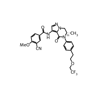 COc1ccc(C(=O)Nc2cnn3c2C(=O)N(c2ccc(CCOCC(F)(F)F)cc2)[C@@H](C)C3)cc1C#N